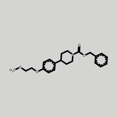 COCCOc1ccc(C2CCN(C(=O)OCc3ccccc3)CC2)cc1